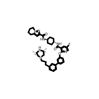 C[C@@H]1CN(CCCc2cccc(-c3cccc(Oc4ncc(F)cc4C(=O)N[C@H]4CC[C@H](NC(=O)c5cc6n(n5)CCCC6)CC4)c3)c2)C[C@H](C)N1